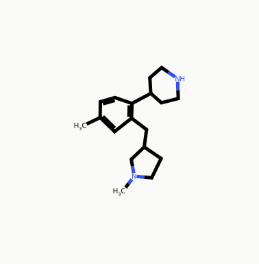 Cc1ccc(C2CCNCC2)c(CC2CCN(C)C2)c1